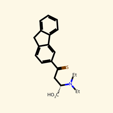 CCN(CC)[C@@H](CC(=S)c1ccc2c(c1)-c1ccccc1C2)C(=O)O